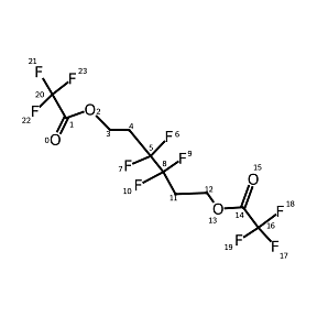 O=C(OCCC(F)(F)C(F)(F)CCOC(=O)C(F)(F)F)C(F)(F)F